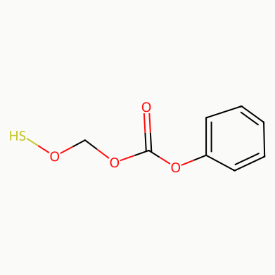 O=C(OCOS)Oc1ccccc1